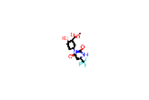 COC(=O)c1cc(-n2c(=O)cc(C(F)(F)F)[nH]c2=O)ccc1O